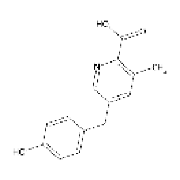 Cc1cc(Cc2ccc(O)cc2)cnc1C(=O)O